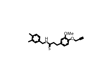 C#CCOc1ccc(CCC(=S)NCc2ccc(C)c(C)c2)cc1OC